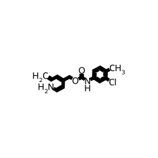 C=C/C=C(\C=C/N)COC(=O)Nc1ccc(C)c(Cl)c1